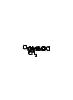 Cc1cc(Cl)cn2cc(N3CCN(c4ccc(Cl)cc4)CC3)nc12